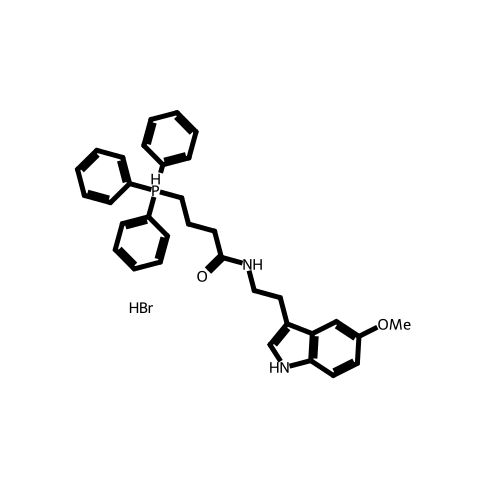 Br.COc1ccc2[nH]cc(CCNC(=O)CCC[PH](c3ccccc3)(c3ccccc3)c3ccccc3)c2c1